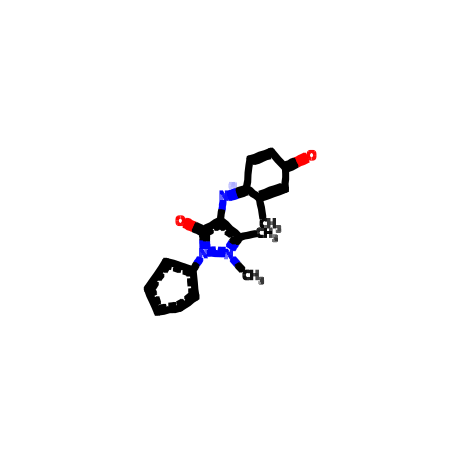 CC1=CC(=O)C=C/C1=N/c1c(C)n(C)n(-c2ccccc2)c1=O